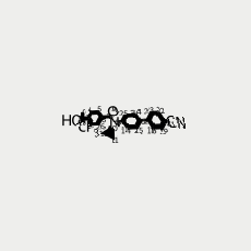 C[C@](O)(c1ccc(C(=O)N(C2CC2)[C@H]2CC[C@H](C3C=CC(C#N)=CC3)CC2)cc1)C(F)(F)F